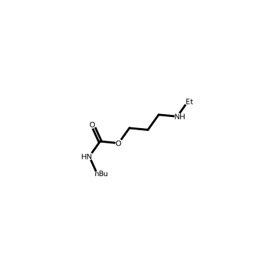 CCCCNC(=O)OCCCNCC